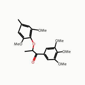 COc1cc(C(=O)C(C)Oc2c(OC)cc(C)cc2OC)cc(OC)c1OC